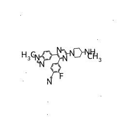 CNC1CCN(c2cnc(-c3ccc4c(c3)ncn4C)c(-c3ccc(C#N)c(F)c3)n2)CC1